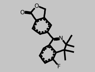 CC1(C)N=C(c2ccc3c(c2)COC3=O)c2cccc(F)c2C1(C)C